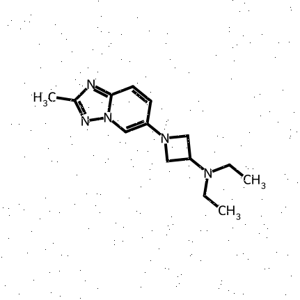 CCN(CC)C1CN(c2ccc3nc(C)nn3c2)C1